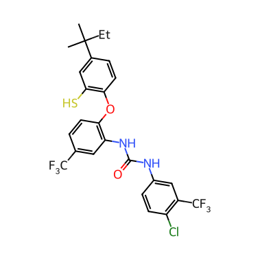 CCC(C)(C)c1ccc(Oc2ccc(C(F)(F)F)cc2NC(=O)Nc2ccc(Cl)c(C(F)(F)F)c2)c(S)c1